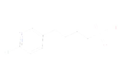 O=S(=O)(O)CCCCc1ccc(Cl)nc1